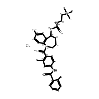 Cc1ccccc1C(=O)Nc1ccc(C(=O)N2CCCC(OC(=O)NCC[N+](C)(C)C)c3cc(Cl)ccc32)c(C)c1.[Cl-]